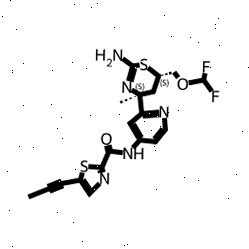 CC#Cc1cnc(C(=O)Nc2ccnc([C@]3(C)C[C@@H](COC(F)F)SC(N)=N3)c2)s1